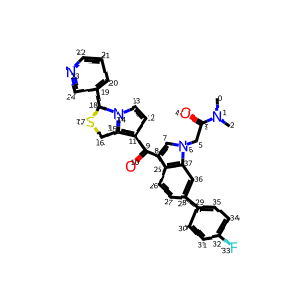 CN(C)C(=O)Cn1cc(C(=O)c2ccn3c2CSC3c2cccnc2)c2ccc(-c3ccc(F)cc3)cc21